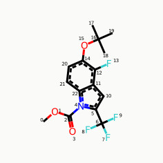 COC(=O)n1c(C(F)(F)F)cc2c(F)c(OC(C)(C)C)ccc21